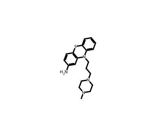 CN1CCN(CCCN2c3ccccc3Sc3ccc(N)cc32)CC1